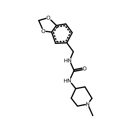 CN1CCC(NC(=O)NCc2ccc3c(c2)OCO3)CC1